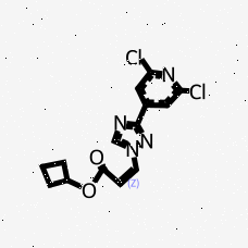 O=C(/C=C\n1cnc(-c2cc(Cl)nc(Cl)c2)n1)OC1CCC1